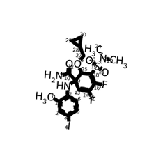 Cc1cc(I)ccc1NC1(C(N)=O)C=C(F)C(F)=C(S(=O)(=O)N(C)C)C1OCC1CC1